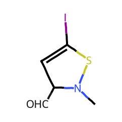 CN1SC(I)=CC1C=O